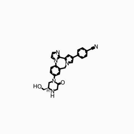 N#Cc1ccc(-c2cc3n(c2)Cc2cc(N4C[C@H](CO)NCC4=O)ccc2-n2ccnc2-3)cc1